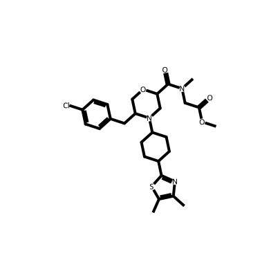 COC(=O)CN(C)C(=O)C1CN(C2CCC(c3nc(C)c(C)s3)CC2)C(Cc2ccc(Cl)cc2)CO1